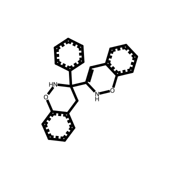 C1=C(C2(c3ccccc3)Cc3ccccc3ON2)NOc2ccccc21